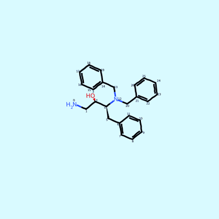 NC[C@@H](O)[C@H](Cc1ccccc1)N(Cc1ccccc1)Cc1ccccc1